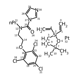 C=C[Si](C)(C=C)O[Si](C)(C)C.CCCN(CCOc1c(Cl)cc(Cl)cc1Cl)C(=O)n1ccnc1.[Pt]